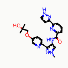 Cn1cc(NC(=O)c2cccc(-c3cc[nH]n3)n2)c(-c2ccc(OCC(C)(C)O)cn2)n1